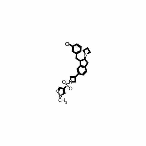 Cn1cc(S(=O)(=O)N2CC(c3ccc4c(c3)C(Cc3cccc(Cl)c3)C(N3CCC3)C4)C2)cn1